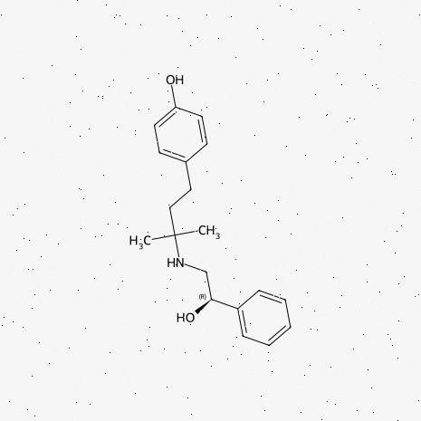 CC(C)(CCc1ccc(O)cc1)NC[C@H](O)c1ccccc1